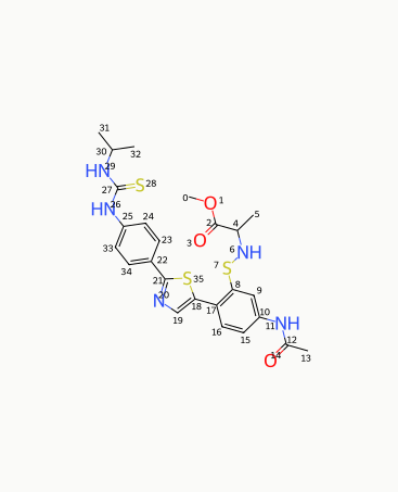 COC(=O)C(C)NSc1cc(NC(C)=O)ccc1-c1cnc(-c2ccc(NC(=S)NC(C)C)cc2)s1